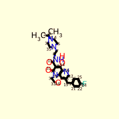 CC(C)N1CCN(CCNC(=O)c2c(O)c3ncc(Cc4ccc(F)cc4)c4c3n(c2=O)CCO4)CC1